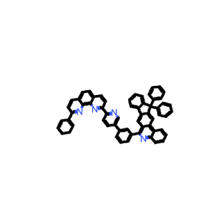 C1=CC(c2ccc3ccc4ccc(-c5ccc(-c6cccc(-c7nc8ccccc8c8cc9c(cc78)-c7ccccc7C9(c7ccccc7)c7ccccc7)c6)cn5)nc4c3n2)=CCC1